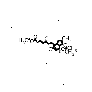 CCOC(=O)CCCC(=O)CCC1=C2CC(C)[C@H](OC(C)(C)C)C2CCC1=O